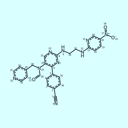 N#Cc1ccc(-c2nc(NCCNc3ccc([N+](=O)[O-])cn3)ncc2N(C=O)Cc2ccncc2)cc1